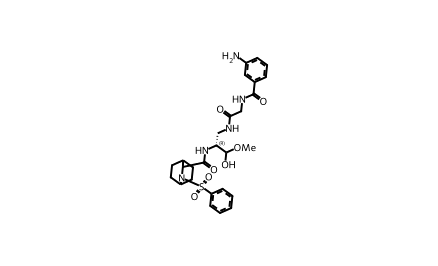 COC(O)[C@@H](CNC(=O)CNC(=O)c1cccc(N)c1)NC(=O)C1C2CCC(CC2)N1S(=O)(=O)c1ccccc1